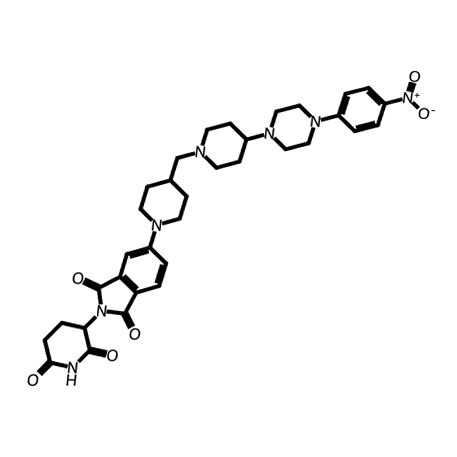 O=C1CCC(N2C(=O)c3ccc(N4CCC(CN5CCC(N6CCN(c7ccc([N+](=O)[O-])cc7)CC6)CC5)CC4)cc3C2=O)C(=O)N1